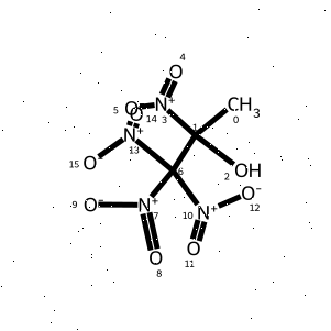 CC(O)([N+](=O)[O-])C([N+](=O)[O-])([N+](=O)[O-])[N+](=O)[O-]